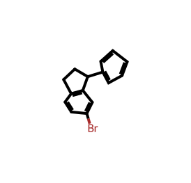 Brc1ccc2c(c1)C(c1ccccc1)CC2